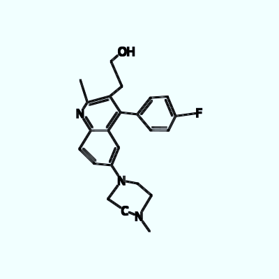 Cc1nc2ccc(N3CCN(C)CC3)cc2c(-c2ccc(F)cc2)c1CCO